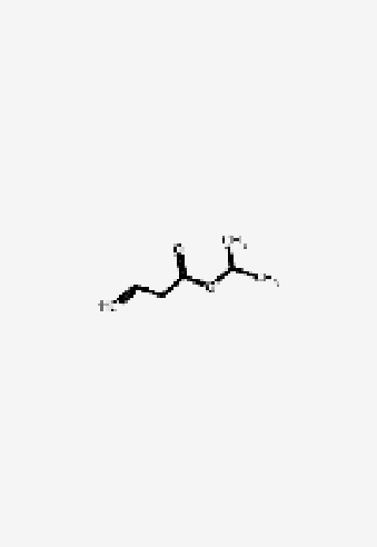 [CH]=CCC(=O)OC(C)C